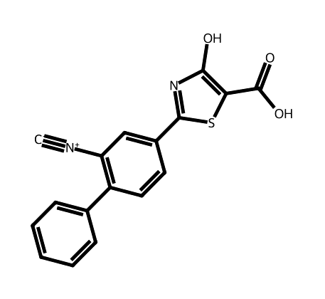 [C-]#[N+]c1cc(-c2nc(O)c(C(=O)O)s2)ccc1-c1ccccc1